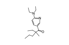 CCCC(C)(CC)C(=O)c1ccc(N(CC)CC)nc1